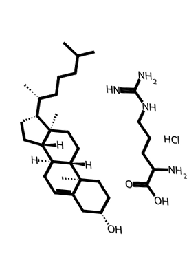 CC(C)CCC[C@@H](C)[C@H]1CC[C@H]2[C@@H]3CC=C4C[C@@H](O)CC[C@]4(C)[C@H]3CC[C@]12C.Cl.N=C(N)NCCCC(N)C(=O)O